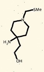 CSCN1CCC(N)(CCO)CC1